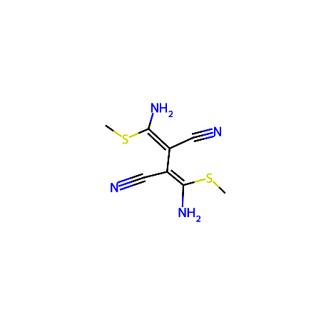 CS/C(N)=C(C#N)\C(C#N)=C(\N)SC